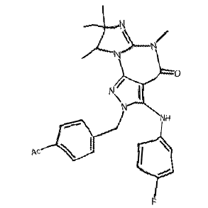 CC(=O)c1ccc(Cn2nc3c(c2Nc2ccc(F)cc2)C(=O)N(C)C2=NC(C)(C)C(C)N23)cc1